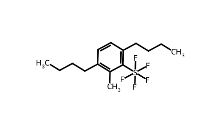 CCCCc1ccc(CCCC)c(S(F)(F)(F)(F)F)c1C